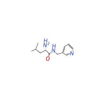 CC(C)C[C@H](N)C(=O)NCc1cccnc1